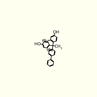 CC(C)(C)c1cc(O)ccc1C(C)(c1ccc(-c2ccccc2)cc1)c1ccc(O)cc1C(C)(C)C